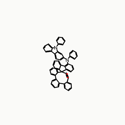 c1ccc(N(c2ccc3c4ccccc4n(-c4ccccc4)c3c2)c2cccc3c2-c2ccccc2C32c3ccccc3-c3ccccc3-c3ccccc3-c3ccccc32)cc1